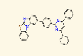 c1ccc(-c2cc(-c3ccccc3)nc(-c3ccc(-c4ccc5nc6sc7ccccc7n6c5c4)cc3)n2)cc1